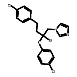 CCC(CCc1ccc(Cl)cc1)(Cn1ccnc1)Sc1ccc(Cl)cc1